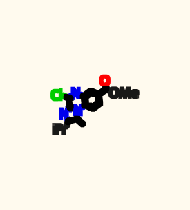 COC(=O)c1ccc2c(c1)N=C(Cl)C1=NC(C(C)C)C(C)N12